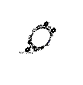 COc1ccc(CC[C@H]2OC(=O)[C@@H]3CCCCN3C(=O)C(=O)C(C)(C)COC(=O)/C=C\CCN(C)C(=O)[C@H](c3ccccc3)NC(=O)[C@H](C(C)C)N(C)C(=O)[C@@H](Cc3ccccc3)NC(=O)[C@H](CC(C)C)N(C)C(=O)CCC(=O)Nc3cccc2c3)cc1OC